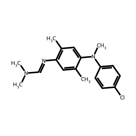 Cc1cc(N(C)c2ccc(Cl)cc2)c(C)cc1N=CN(C)C